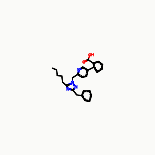 CCCCCc1nc(Cc2ccccc2)nn1Cc1ccc(-c2ccccc2C(=O)O)cn1